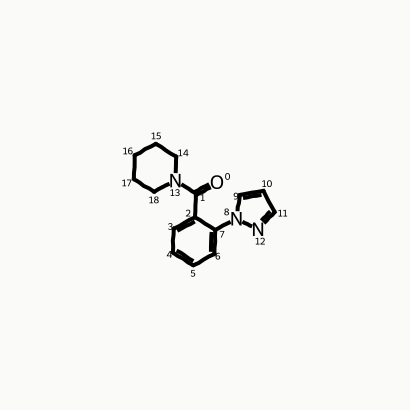 O=C(c1ccccc1-n1cccn1)N1CCCCC1